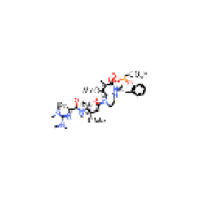 CC[C@H](C)[C@@H]([C@@H](CC(=O)N1CCC[C@H]1[C@H](OC)[C@@H](C)C(=O)N[C@@H](Cc1ccccc1)P(=O)(O)CC(=O)O)OC)N(C)C(=O)[C@@H](N=C(N(C)C)N(C)C)C(C)C